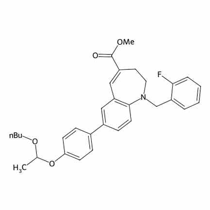 CCCCOC(C)Oc1ccc(-c2ccc3c(c2)C=C(C(=O)OC)CCN3Cc2ccccc2F)cc1